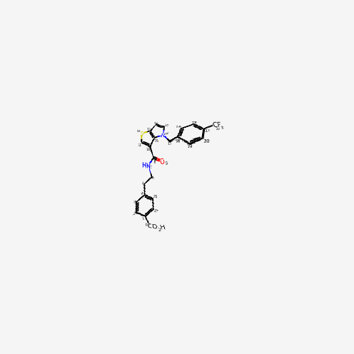 O=C(O)c1ccc(CCNC(=O)c2csc3ccn(Cc4ccc(C(F)(F)F)cc4)c23)cc1